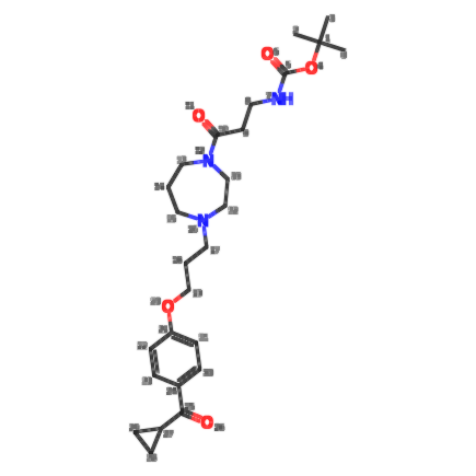 CC(C)(C)OC(=O)NCCC(=O)N1CCCN(CCCOc2ccc(C(=O)C3CC3)cc2)CC1